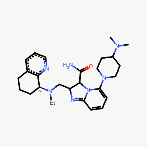 CCN(CC1N=C2C=CC=C(N3CCC(N(C)C)CC3)N2C1C(N)=O)[C@H]1CCCc2cccnc21